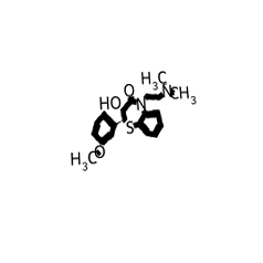 COc1cccc([C@H]2Sc3ccccc3N(CCN(C)C)C(=O)[C@@H]2O)c1